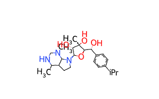 CC(C)c1ccc([C@@H](O)[C@H]2O[C@@H](N3CCC4C(C)NCN(C)C43)[C@H](O)[C@]2(C)O)cc1